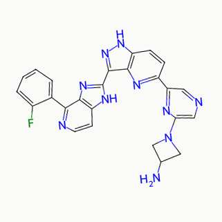 NC1CN(c2cncc(-c3ccc4[nH]nc(-c5nc6c(-c7ccccc7F)nccc6[nH]5)c4n3)n2)C1